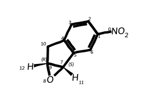 O=[N+]([O-])c1ccc2c(c1)[C@@H]1O[C@@H]1C2